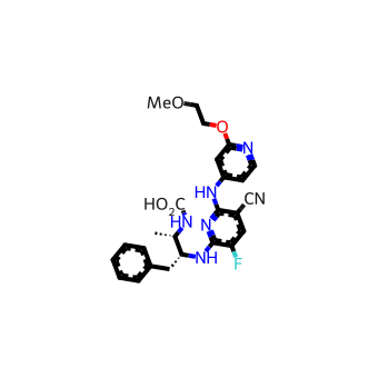 COCCOc1cc(Nc2nc(N[C@H](Cc3ccccc3)[C@H](C)NC(=O)O)c(F)cc2C#N)ccn1